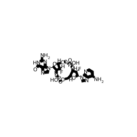 Nc1nc2c(ncn2[C@@H]2O[C@@H]3COP(=O)(O)O[C@H]4[C@H](F)[C@H](n5cnc6c(N)ccnc65)O[C@@H]4COP(=O)(O)O[C@@H]2[C@@H]3F)c(=O)[nH]1